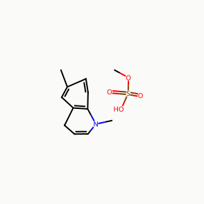 COS(=O)(=O)O.Cc1ccc2c(c1)CC=CN2C